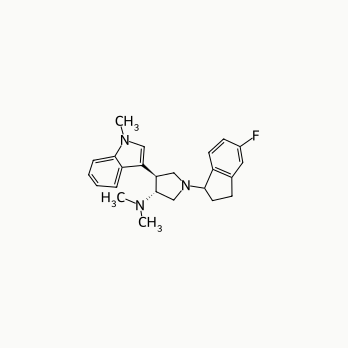 CN(C)[C@H]1CN(C2CCc3cc(F)ccc32)C[C@@H]1c1cn(C)c2ccccc12